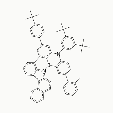 Cc1ccccc1-c1ccc2c(c1)B1c3c(cc(-c4ccc(C(C)(C)C)cc4)cc3N2c2cc(C(C)(C)C)cc(C(C)(C)C)c2)-c2cccc3c4c5ccccc5ccc4n1c23